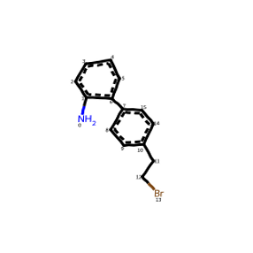 Nc1ccccc1-c1ccc(CCBr)cc1